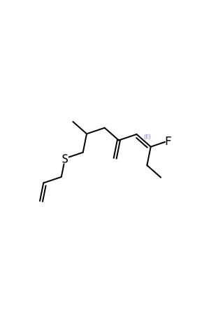 C=CCSCC(C)CC(=C)/C=C(/F)CC